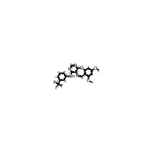 COc1cc(OC)c2c(c1)Oc1ncnc(Nc3cccc(C(F)(F)F)c3)c1N=C2